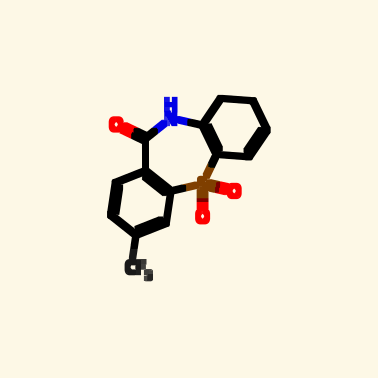 O=C1NC2=C(C=CCC2)S(=O)(=O)c2cc(C(F)(F)F)ccc21